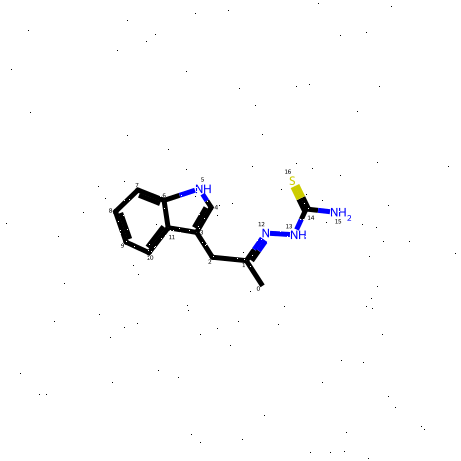 CC(Cc1c[nH]c2ccccc12)=NNC(N)=S